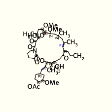 C=CC[C@@H]1/C=C(\C)C[C@H](C)C[C@H](OC)[C@H]2O[C@@](O)(C(=O)C(=O)N3CCCC[C@H]3C(=O)O[C@H](/C(C)=C/[C@@H]3CC[C@@H](OC(C)=O)[C@H](OC)C3)[C@H](C)[C@@H](O)CC1=O)[C@H](C)C[C@@H]2OC